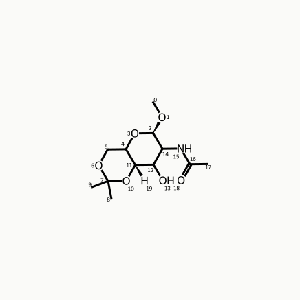 CO[C@@H]1OC2COC(C)(C)O[C@H]2C(O)C1NC(C)=O